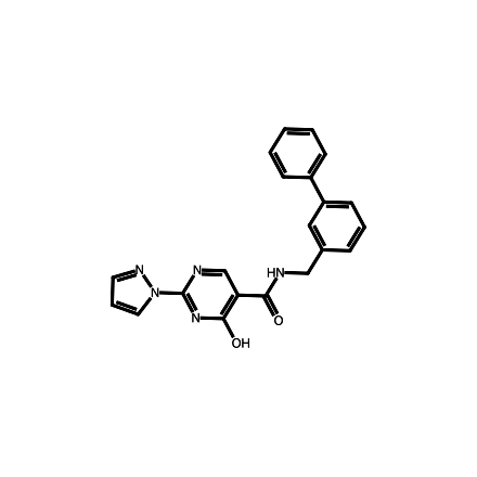 O=C(NCc1cccc(-c2ccccc2)c1)c1cnc(-n2cccn2)nc1O